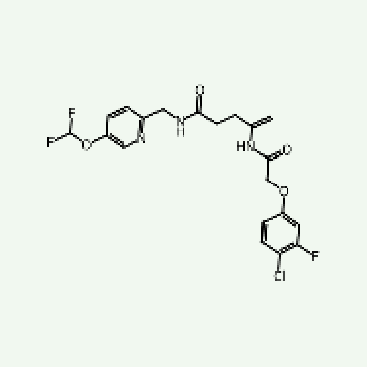 C=C(CCC(=O)NCc1ccc(OC(F)F)cn1)NC(=O)COc1ccc(Cl)c(F)c1